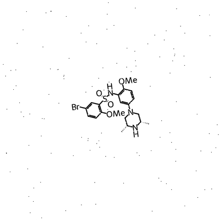 COc1ccc(N2C[C@@H](C)N[C@@H](C)C2)cc1NS(=O)(=O)c1cc(Br)ccc1OC